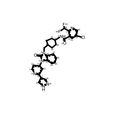 O=C(NC1CCC(Cn2c(=O)n(-c3ccnc(-c4cn[nH]c4)c3)c3ccccc32)CC1)c1cc(Cl)cnc1C(F)F